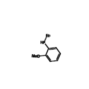 C[C]Pc1ccccc1OC